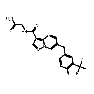 NC(=O)CNC(=O)c1cnn2cc(Cc3ccc(F)c(C(F)(F)F)c3)cnc12